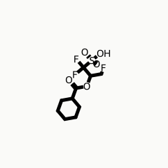 O=C(OC(CF)C(F)(F)S(=O)(=O)O)C1CCCCC1